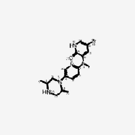 CC1CN(c2ccc(N(C)c3cc(Br)c[nH]c3=O)nc2)C(C)CN1